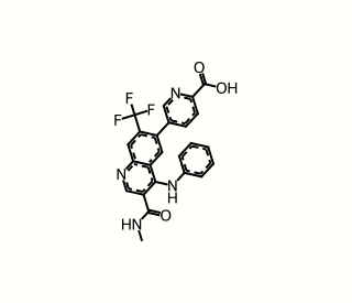 CNC(=O)c1cnc2cc(C(F)(F)F)c(-c3ccc(C(=O)O)nc3)cc2c1Nc1ccccc1